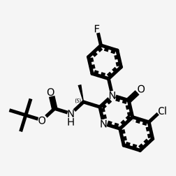 C[C@H](NC(=O)OC(C)(C)C)c1nc2cccc(Cl)c2c(=O)n1-c1ccc(F)cc1